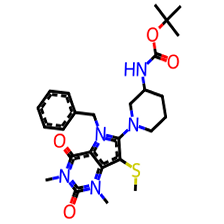 CSc1c(N2CCCC(NC(=O)OC(C)(C)C)C2)n(Cc2ccccc2)c2c(=O)n(C)c(=O)n(C)c12